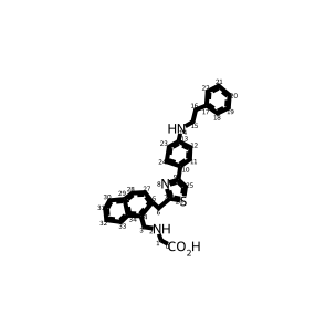 O=C(O)CNCc1c(Cc2nc(-c3ccc(NCCc4ccccc4)cc3)cs2)ccc2ccccc12